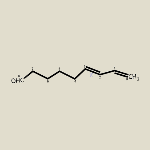 C=C/C=C/CCCCC=O